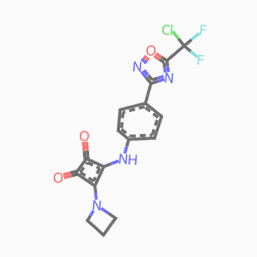 O=c1c(Nc2ccc(-c3noc(C(F)(F)Cl)n3)cc2)c(N2CCC2)c1=O